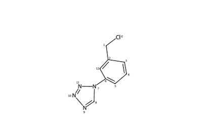 ClCc1cccc(-n2cnnn2)c1